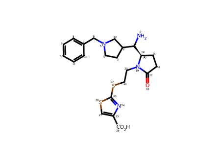 NC(C1CCN(Cc2ccccc2)C1)[C@H]1CCC(=O)N1CCSc1nc(C(=O)O)cs1